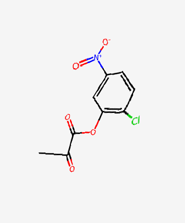 CC(=O)C(=O)Oc1cc([N+](=O)[O-])ccc1Cl